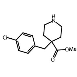 COC(=O)C1(Cc2ccc(Cl)cc2)CCNCC1